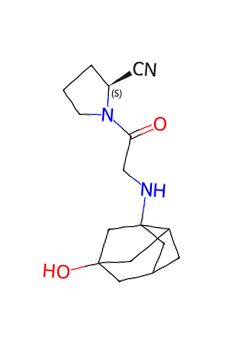 N#C[C@@H]1CCCN1C(=O)CNC12CC3CC1CC(O)(C3)C2